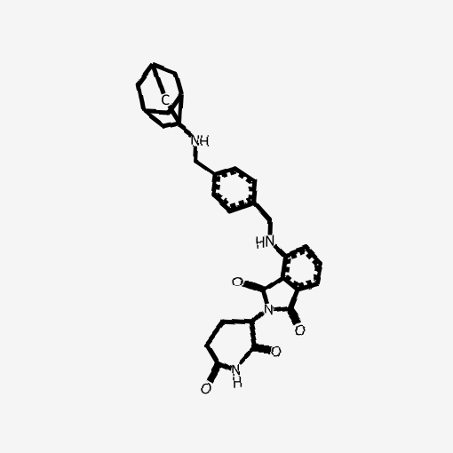 O=C1CCC(N2C(=O)c3cccc(NCc4ccc(CNC56CC7CC(CC5C7)C6)cc4)c3C2=O)C(=O)N1